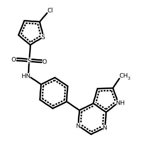 Cc1cc2c(-c3ccc(NS(=O)(=O)c4ccc(Cl)s4)cc3)ncnc2[nH]1